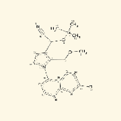 COCc1c(C(C#N)O[Si](C)(C)C)cnn1-c1ccnc2cc(Cl)ccc12